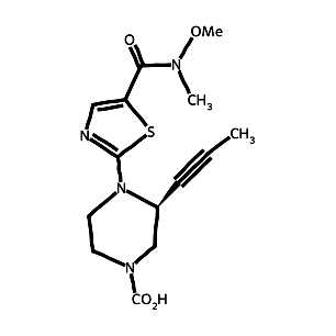 CC#C[C@H]1CN(C(=O)O)CCN1c1ncc(C(=O)N(C)OC)s1